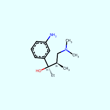 CC[C@](O)(c1cccc(N)c1)[C@H](C)CN(C)C